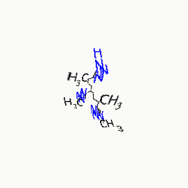 CCn1cc(C(C)CCC(CCC(C)c2c[nH]nn2)c2cn(C)nn2)nn1